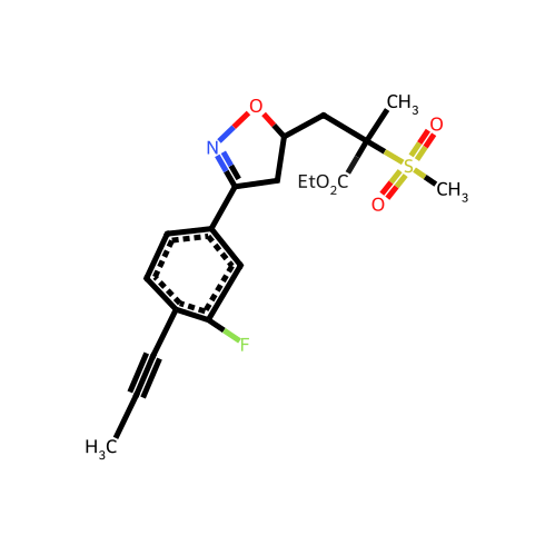 CC#Cc1ccc(C2=NOC(CC(C)(C(=O)OCC)S(C)(=O)=O)C2)cc1F